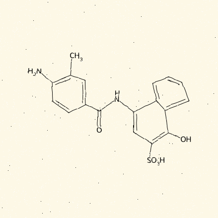 Cc1cc(C(=O)Nc2cc(S(=O)(=O)O)c(O)c3ccccc23)ccc1N